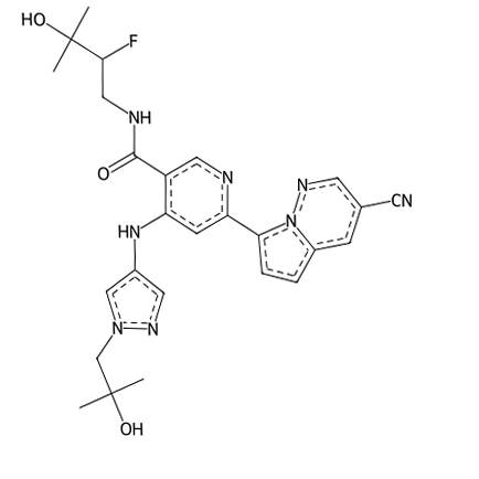 CC(C)(O)Cn1cc(Nc2cc(-c3ccc4cc(C#N)cnn34)ncc2C(=O)NCC(F)C(C)(C)O)cn1